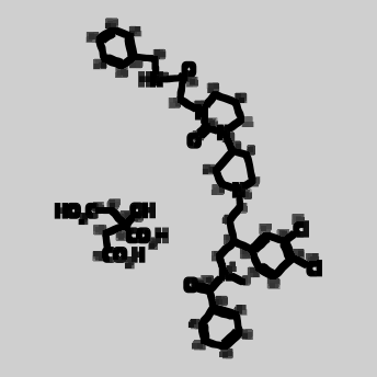 CN(CC(CCN1CCC(N2CCCN(CC(=O)NCc3ccccc3)C2=O)CC1)c1ccc(Cl)c(Cl)c1)C(=O)c1ccccc1.O=C(O)CC(O)(CC(=O)O)C(=O)O